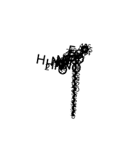 CCCCCCCCCCCCCCCCCCOCCOP(=O)(CO[C@H](CF)Cn1cnc2c(=O)[nH]c(N)nc21)OCc1ccccc1